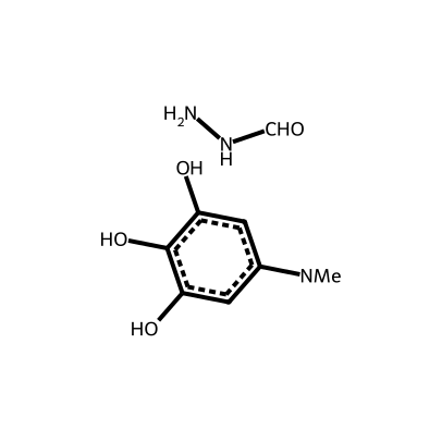 CNc1cc(O)c(O)c(O)c1.NNC=O